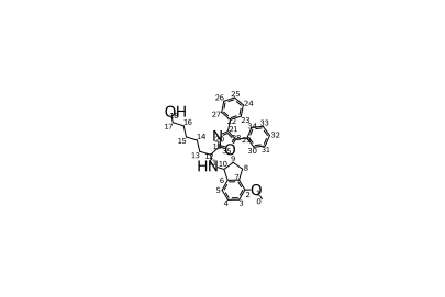 COc1cccc2c1CCC2NC(CCCCCO)c1nc(-c2ccccc2)c(-c2ccccc2)o1